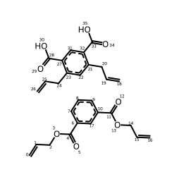 C=CCOC(=O)c1cccc(C(=O)OCC=C)c1.C=CCc1cc(CC=C)c(C(=O)O)cc1C(=O)O